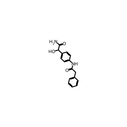 NC(=O)C(O)c1ccc(NC(=O)Cc2ccccc2)cc1